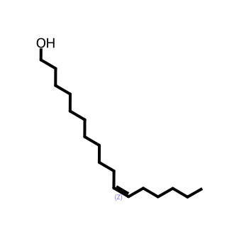 CCCCC/C=C\CCCCCCCCCCO